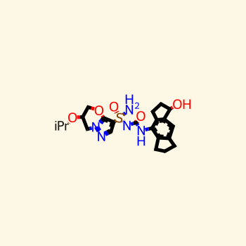 CC(C)OC1COc2c(S(N)(=O)=NC(=O)Nc3c4c(cc5c3CCC5O)CCC4)cnn2C1